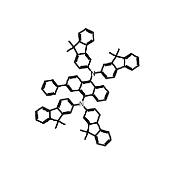 CC1(C)C2=CC(N(c3ccc4c(c3)C(C)(C)c3ccccc3-4)c3c4ccccc4c(N(c4ccc5c(c4)-c4ccccc4C5(C)C)c4ccc5c(c4)C(C)(C)c4ccccc4-5)c4ccc(-c5ccccc5)cc34)=CCC2c2ccccc21